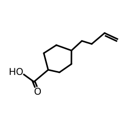 C=CCCC1CCC(C(=O)O)CC1